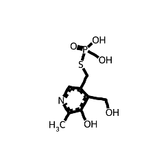 Cc1ncc(CSP(=O)(O)O)c(CO)c1O